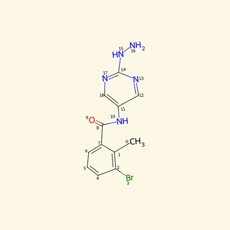 Cc1c(Br)cccc1C(=O)Nc1cnc(NN)nc1